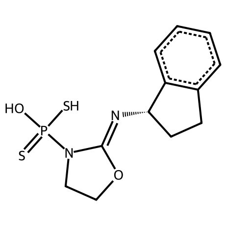 OP(=S)(S)N1CCOC1=N[C@H]1CCc2ccccc21